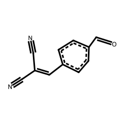 N#CC(C#N)=Cc1ccc(C=O)cc1